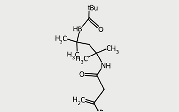 C=C(CC(=O)NC(C)(C)CC(C)(C)BC(=O)C(C)(C)C)C(C)C